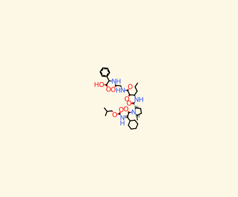 CCCC(NC(=O)[C@@H]1CC[C@@H](C)N1C(=O)[C@@H](NC(=O)OCC(C)C)C1CCCCC1)C(=O)C(=O)NCC(=O)NC(C(=O)O)c1ccccc1